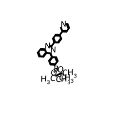 CC1(C)OB(c2ccc(-c3nc(-c4ccc(-c5cccnc5)cc4)nc4ccccc34)cc2)OC1(C)C